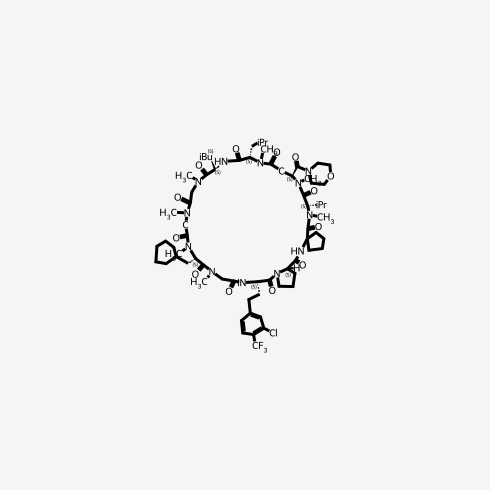 CC[C@H](C)[C@@H]1NC(=O)[C@H](CC(C)C)N(C)C(=O)C[C@@H](C(=O)N2CCOCC2)N(C)C(=O)[C@H](C(C)C)N(C)C(=O)C2(CCCC2)NC(=O)[C@@H]2CCCN2C(=O)[C@H](CCc2ccc(C(F)(F)F)c(Cl)c2)NC(=O)CN(C)C(=O)[C@H](CC2CCCCC2)N(C)C(=O)CN(C)C(=O)CN(C)C1=O